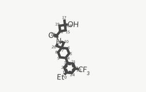 CCc1cc(C2CCC3(CC2)CN(C(=O)C2CC(C)(O)C2)C3)cc(C(F)(F)F)c1